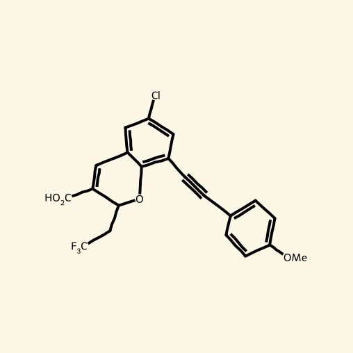 COc1ccc(C#Cc2cc(Cl)cc3c2OC(CC(F)(F)F)C(C(=O)O)=C3)cc1